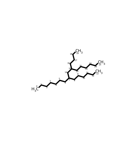 CCCCCCCC(CCCCCC)CC(CCCC)CCCCCC